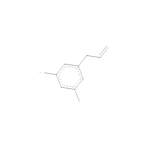 C=C[CH]c1cc(C)cc(Br)c1